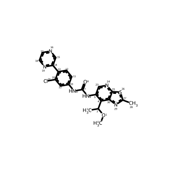 COC(C)c1c(NC(=O)Nc2ccc(-c3cnccn3)c(Cl)c2)cnc2sc(C)nc12